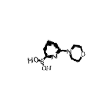 OB(O)c1cccc(N2CCOCC2)n1